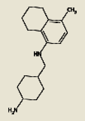 Cc1ccc(NCC2CCC(N)CC2)c2c1CCCC2